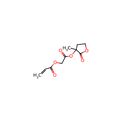 C=CC(=O)OCC(=O)OC1(C)CCOC1=O